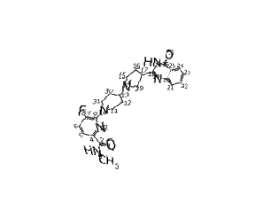 CNC(=O)c1ccc(F)c(N2CCC(N3CCC(c4nc5ccccc5c(=O)[nH]4)C3)CC2)n1